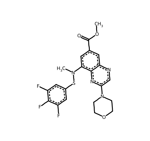 COC(=O)c1cc(N(C)Sc2cc(F)c(F)c(F)c2)c2nc(N3CCOCC3)cnc2c1